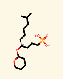 CC(C)CCCC[C@@H](CCCP(=O)(O)O)OC1CCCCO1